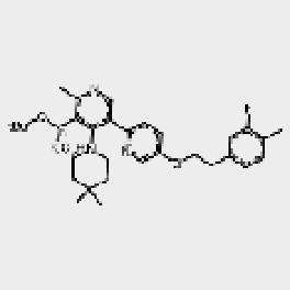 Cc1ccc(CCOc2ccc(-c3cnc(C)c([C@H](OC(C)(C)C)C(=O)O)c3N3CCC(C)(C)CC3)nc2)cc1F